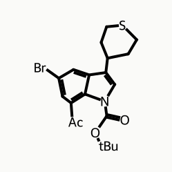 CC(=O)c1cc(Br)cc2c(C3CCSCC3)cn(C(=O)OC(C)(C)C)c12